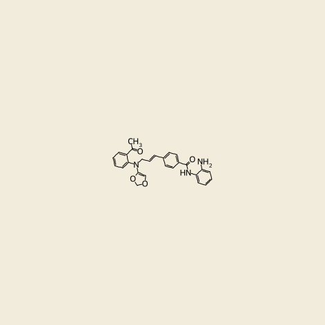 CC(=O)c1ccccc1N(CC=Cc1ccc(C(=O)Nc2ccccc2N)cc1)C1=COCO1